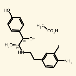 CC(=O)O.C[C@H](NCCc1ccc(N)c(I)c1)[C@H](O)c1ccc(O)cc1